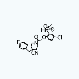 CS(=O)(=O)Nc1cc(Cl)ccc1OCC(=O)N1CCC(C#N)(Cc2ccc(F)cc2)CC1